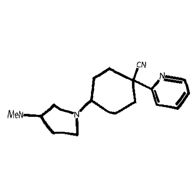 CNC1CCN(C2CCC(C#N)(c3ccccn3)CC2)C1